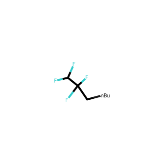 [CH2]CCCCC(F)(F)C(F)F